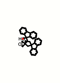 CC1(CC2(CC3(CC(=O)O)c4ccccc4-c4ccccc43)COC2)c2ccccc2-c2ccccc21